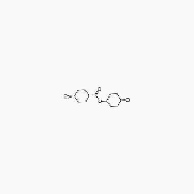 CC[C@H]1CC[C@H](C(=O)OC2CCC(=O)CC2)CC1